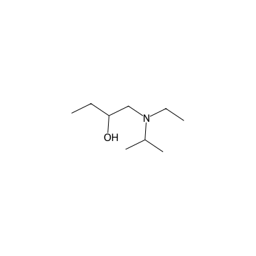 CCC(O)CN(CC)C(C)C